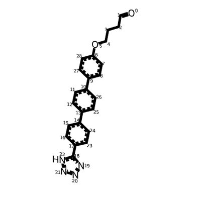 O=[C]CCCOc1ccc(-c2ccc(-c3ccc(-c4nnn[nH]4)cc3)cc2)cc1